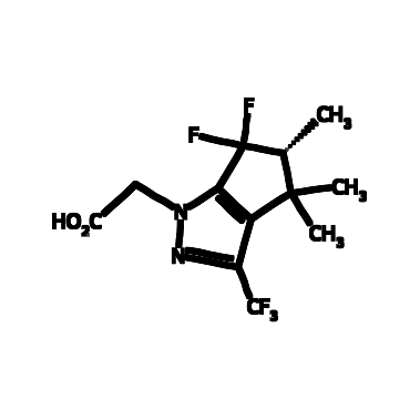 C[C@@H]1C(C)(C)c2c(C(F)(F)F)nn(CC(=O)O)c2C1(F)F